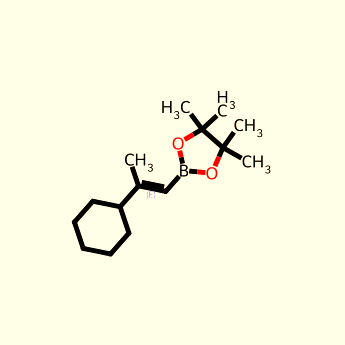 C/C(=C\B1OC(C)(C)C(C)(C)O1)C1CCCCC1